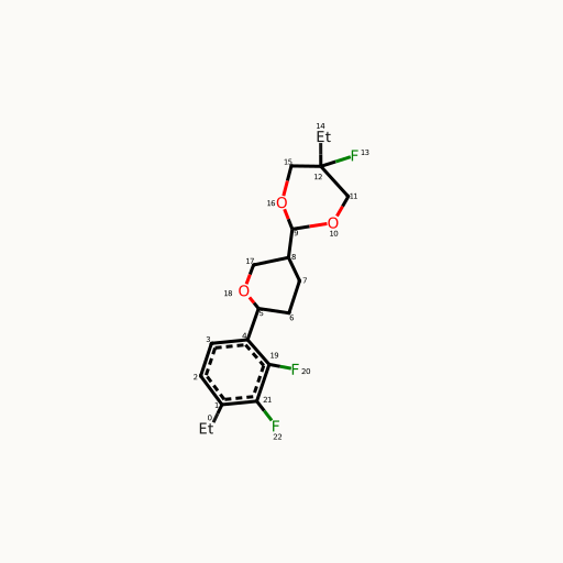 CCc1ccc(C2CCC(C3OCC(F)(CC)CO3)CO2)c(F)c1F